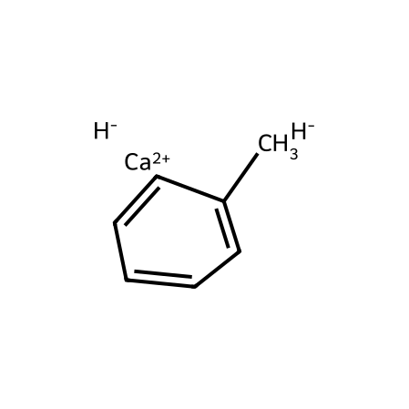 Cc1ccccc1.[Ca+2].[H-].[H-]